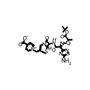 CC(ON=C(C(=O)NC1C(=O)N2C=C(C[n+]3ccc(C(=O)[O-])cc3)CS[C@H]12)c1nsc(N)n1)C(=O)OC(C)(C)C